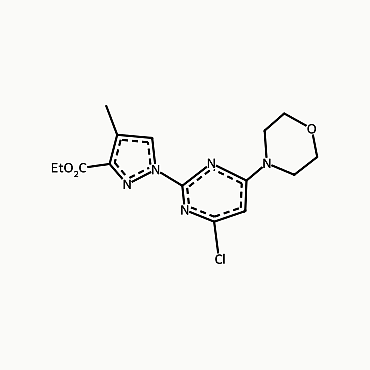 CCOC(=O)c1nn(-c2nc(Cl)cc(N3CCOCC3)n2)cc1C